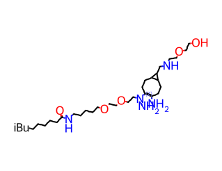 CCC(C)CCCCCC(=O)NCCCCCOCCOCCN(N)/C1=C(\N)CCC2C(CC1)C2CNCCOCCO